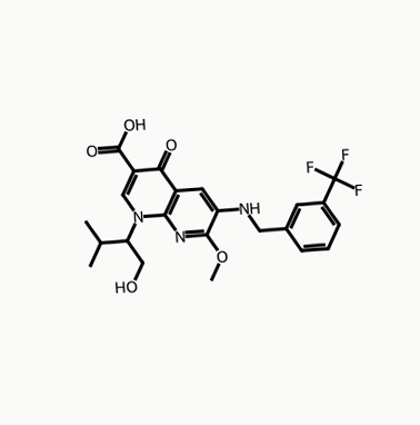 COc1nc2c(cc1NCc1cccc(C(F)(F)F)c1)c(=O)c(C(=O)O)cn2C(CO)C(C)C